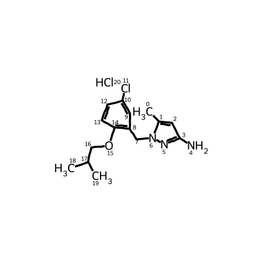 Cc1cc(N)nn1Cc1cc(Cl)ccc1OCC(C)C.Cl